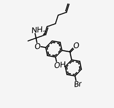 C=CCCC=CC(C)(N)Oc1ccc(C(=O)c2ccc(Br)cc2)c(O)c1